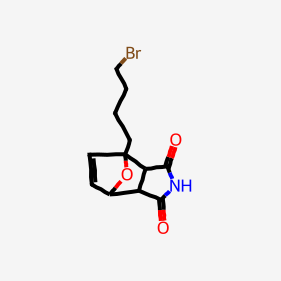 O=C1NC(=O)C2C1C1C=CC2(CCCCBr)O1